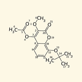 COc1c(OC(C)=O)c2cccc(OC(C)(C)C)c2oc1=O